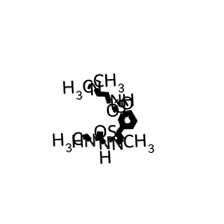 CCNC(=O)Nc1nc(C)c(-c2cccc(S(=O)(=O)NCCCN(C)C)c2)s1